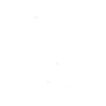 C[C](C)CN1CCC(CCCN)C(F)(F)C1